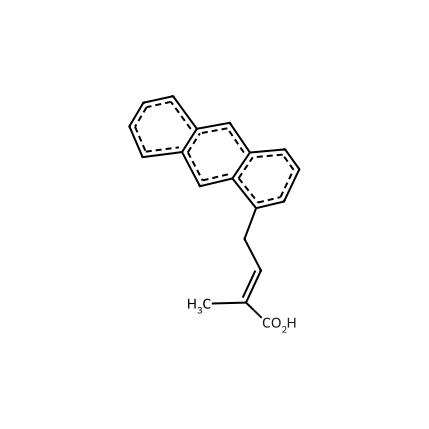 CC(=CCc1cccc2cc3ccccc3cc12)C(=O)O